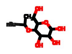 CCCCC(C)OC1C(CO)OC(O)C(O)C1O